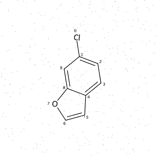 Clc1ccc2[c]coc2c1